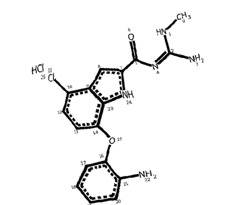 CNC(N)=NC(=O)c1cc2c(Cl)ccc(Oc3ccccc3N)c2[nH]1.Cl